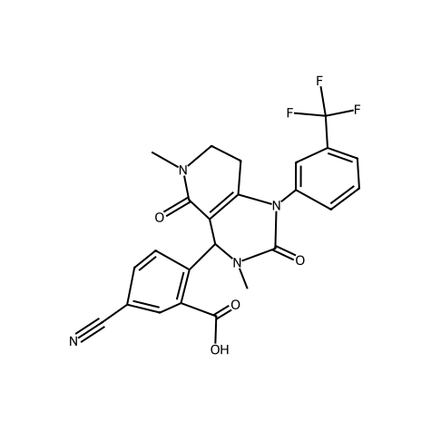 CN1CCC2=C(C1=O)C(c1ccc(C#N)cc1C(=O)O)N(C)C(=O)N2c1cccc(C(F)(F)F)c1